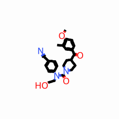 COc1ccc(C(=O)C2CCN(C(=O)N(CCO)c3ccc(C#N)cc3)CC2)cc1C